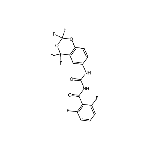 O=C(NC(=O)c1c(F)cccc1F)Nc1ccc2c(c1)C(F)(F)OC(F)(F)O2